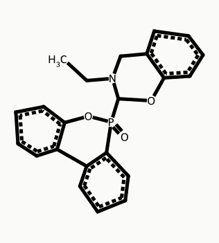 CCN1Cc2ccccc2OC1P1(=O)Oc2ccccc2-c2ccccc21